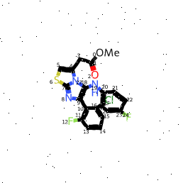 COC(=O)Cc1csc2nc(-c3c(F)cccc3Cl)c(Nc3ccc(F)cc3)n12